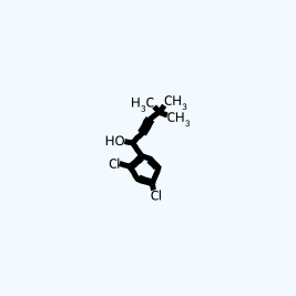 CC(C)(C)C#CC(O)c1ccc(Cl)cc1Cl